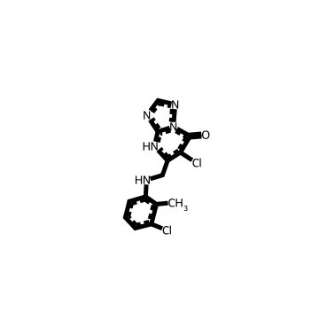 Cc1c(Cl)cccc1NCc1[nH]c2ncnn2c(=O)c1Cl